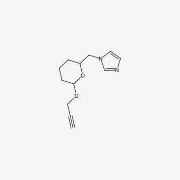 C#CCOC1CCCC(Cn2ccnc2)O1